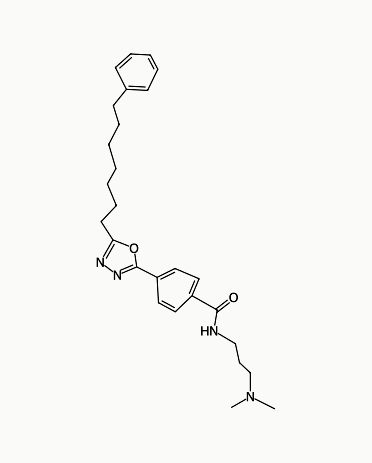 CN(C)CCCNC(=O)c1ccc(-c2nnc(CCCCCCCc3ccccc3)o2)cc1